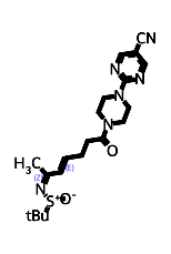 CC(/C=C/CCC(=O)N1CCN(c2ncc(C#N)cn2)CC1)=N/[S+]([O-])C(C)(C)C